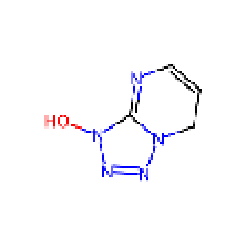 ON1N=NN2CC=CN=C12